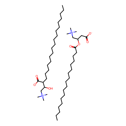 CCCCCCCCCCCCCCCCCC(=O)OC(CC(=O)[O-])C[N+](C)(C)C.CCCCCCCCCCCCCCCCCCC(C(=O)[O-])C(O)C[N+](C)(C)C